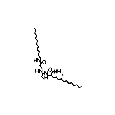 CCCCCCCCCCCCNC(=O)CCNC(CC)NCC(CCCCCCCCCCCC)C(N)=O